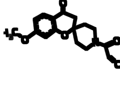 C=CC(=O)N1CCC2(CC1)CC(=O)c1ccc(OC)cc1O2